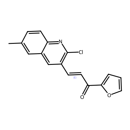 Cc1ccc2nc(Cl)c(/C=C/C(=O)c3ccco3)cc2c1